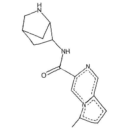 Cc1ccc2cnc(C(=O)NC3CC4CNC3C4)cn12